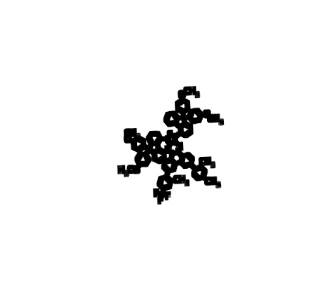 COc1ccc(C2(c3ccc(OC)cc3)c3ccccc3-c3c(-c4sc(-c5cccc6c5-c5ccccc5C6(c5ccc(OC)cc5)c5ccc(OC)cc5)c5nc6c7ccc(-c8ccc(C(F)(F)F)cc8C)cc7c7cc(-c8ccc(C)cc8C)ccc7c6nc45)cccc32)cc1